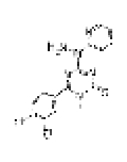 Cn1c(-c2ccc(Cl)c(Cl)c2)nc(N(N)c2ccccn2)nc1=O